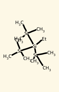 CC[Si]([Si](C)(C)C)([Si](C)(C)C)[Si](C)(C)C